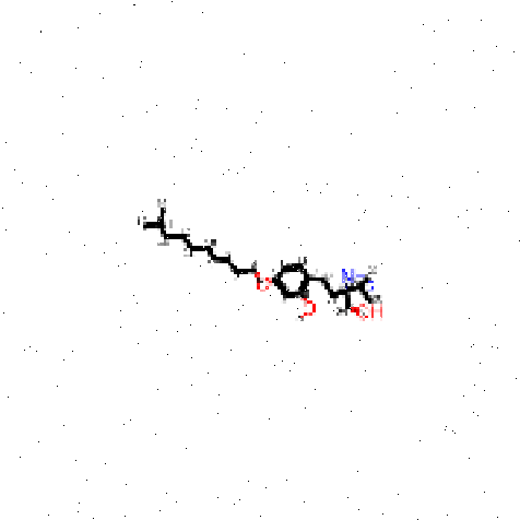 COc1cc(OCCCCCCCCC(C)C)ccc1CC[C@@](N)(CO)C(C)C